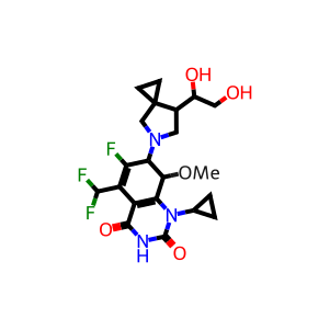 COC1c2c(c(=O)[nH]c(=O)n2C2CC2)C(C(F)F)=C(F)C1N1CC(C(O)CO)C2(CC2)C1